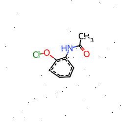 CC(=O)Nc1ccccc1OCl